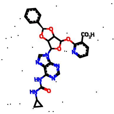 O=C(Nc1ncnc2c1ncn2C1OC(Oc2ncccc2C(=O)O)C2O[C@H](c3ccccc3)OC21)NC1CC1